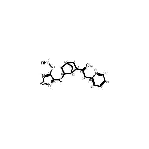 CCCSc1nsnc1OC1CC2CC(C(=O)Cc3ccccn3)C1C2